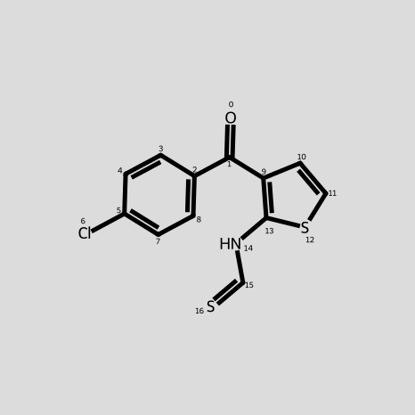 O=C(c1ccc(Cl)cc1)c1ccsc1NC=S